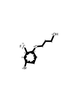 OCCCOc1ccc(Br)cc1C(F)(F)F